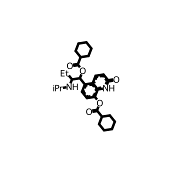 CCC(NC(C)C)C(OC(=O)C1CCCCC1)c1ccc(OC(=O)C2CCCCC2)c2[nH]c(=O)ccc12